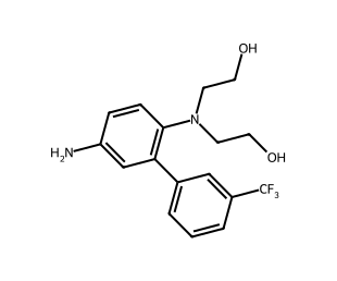 Nc1ccc(N(CCO)CCO)c(-c2cccc(C(F)(F)F)c2)c1